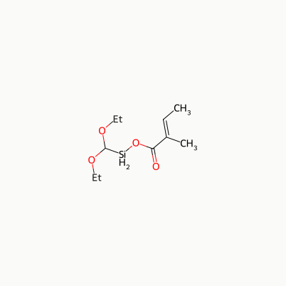 CC=C(C)C(=O)O[SiH2]C(OCC)OCC